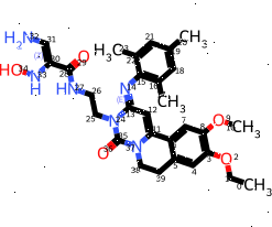 CCOc1cc2c(cc1OC)-c1c/c(=N\c3c(C)cc(C)cc3C)n(CCNC(=O)/C(=C/N)NO)c(=O)n1CC2